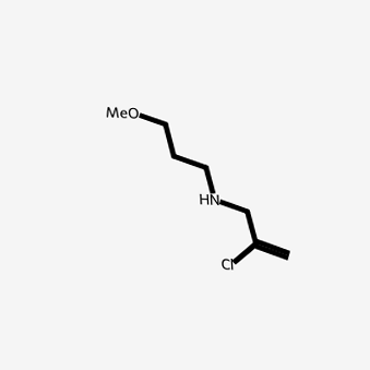 C=C(Cl)CNCCCOC